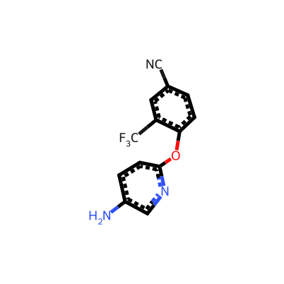 N#Cc1ccc(Oc2ccc(N)cn2)c(C(F)(F)F)c1